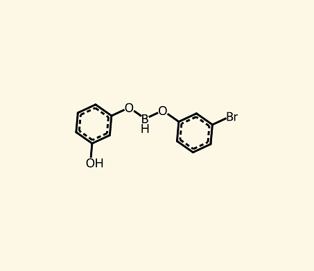 Oc1cccc(OBOc2cccc(Br)c2)c1